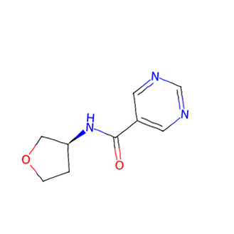 O=C(N[C@H]1CCOC1)c1cncnc1